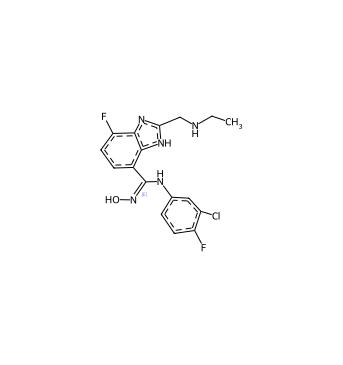 CCNCc1nc2c(F)ccc(/C(=N\O)Nc3ccc(F)c(Cl)c3)c2[nH]1